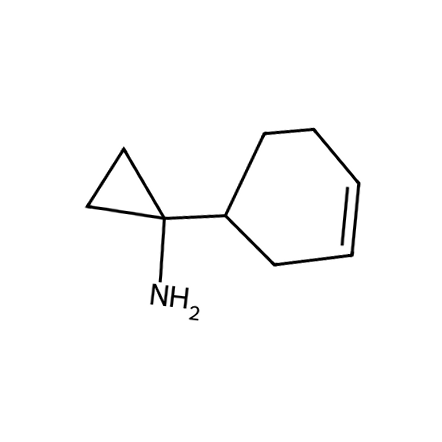 NC1(C2CC=CCC2)CC1